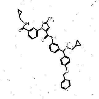 O=C(NCC1CC1)c1cccc(-n2nc(C(F)(F)F)cc2C(=O)Nc2cccc(C(NCC3CC3)c3ccc(OCc4ccccc4)cc3)c2)c1